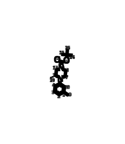 Cc1cccc(N2CCN(C(=O)OC(C)(C)C)C[C@H]2C)c1